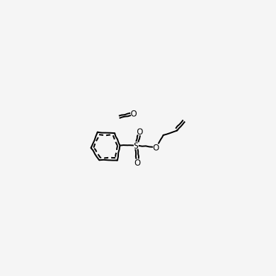 C=CCOS(=O)(=O)c1ccccc1.C=O